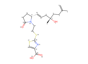 C=C(C)CC[C@](C)(O)CC=C[C@H]1CCC(=O)N1CCSc1nc(C(=O)O)cs1